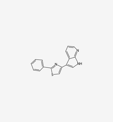 c1ccc(-c2nc(-c3c[nH]c4ncccc34)cs2)cc1